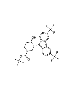 CC(C)(C)OC(=O)N1CC[C@@H](O)[C@H](n2c3ccc(C(F)(F)F)cc3c3cc(C(F)(F)F)ccc32)C1